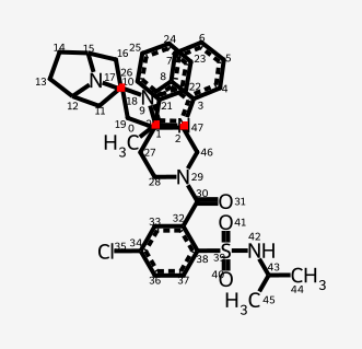 Cc1nc2ccccc2n1C1CC2CCC(C1)N2CCC1(c2ccccc2)CCN(C(=O)c2cc(Cl)ccc2S(=O)(=O)NC(C)C)CC1